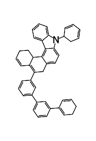 C1=CCC(n2c3ccccc3c3c4c(ccc32)CC(c2cccc(-c3cccc(C5=CCCC=C5)c3)c2)=C2C=CCCC24)C=C1